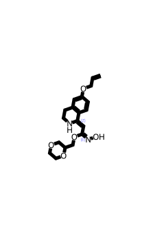 C=CCOc1ccc2c(c1)CCN/C2=C\C(=N/O)OCC1COCCO1